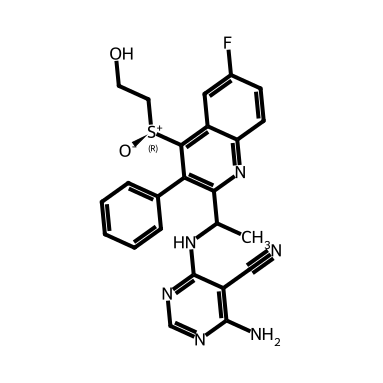 CC(Nc1ncnc(N)c1C#N)c1nc2ccc(F)cc2c([S@@+]([O-])CCO)c1-c1ccccc1